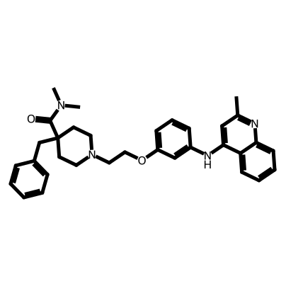 Cc1cc(Nc2cccc(OCCN3CCC(Cc4ccccc4)(C(=O)N(C)C)CC3)c2)c2ccccc2n1